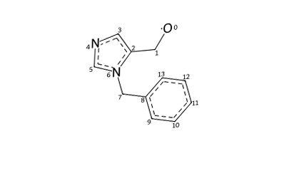 [O]Cc1cncn1Cc1ccccc1